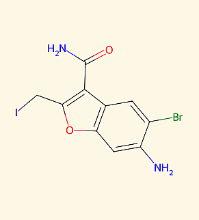 NC(=O)c1c(CI)oc2cc(N)c(Br)cc12